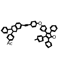 CC(=O)c1ccc(C2Cc3cc(C#Cc4ccc(Oc5ccc(C6=C(c7ccccc7)C(=O)C(c7ccccc7)=C6c6ccc(C)cc6)cc5)cc4)ccc3CC2c2ccccc2)cc1